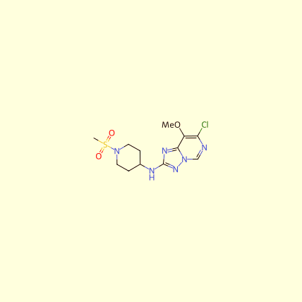 COc1c(Cl)ncn2nc(NC3CCN(S(C)(=O)=O)CC3)nc12